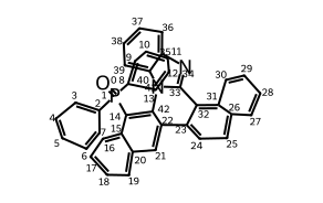 O=P(c1ccccc1)(c1ccccc1)c1c2ccccc2cc2c3ccc4ccccc4c3c3nc4ccccc4n3c12